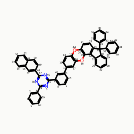 c1ccc(-c2nc(-c3cccc(-c4ccc5c(c4)Oc4c(ccc6c4-c4ccccc4C6(c4ccccc4)c4ccccc4)O5)c3)nc(-c3ccc4ccccc4c3)n2)cc1